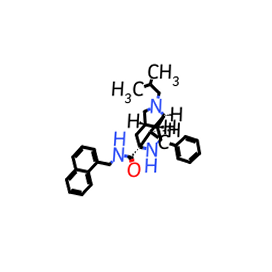 CC(C)CN1C[C@H]2C[C@]3(C(=O)NCc4cccc5ccccc45)NC[C@H]2[C@H]1[C@H]3Cc1ccccc1